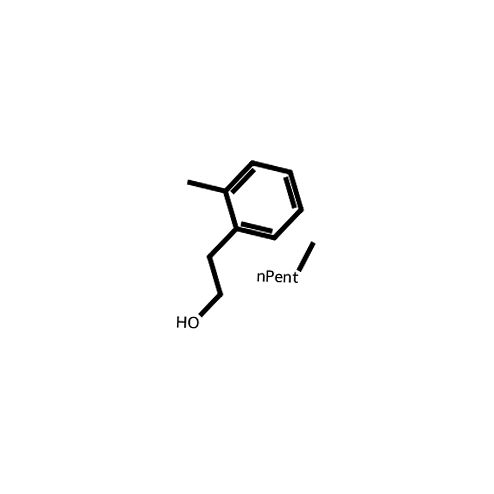 CCCCCC.Cc1ccccc1CCO